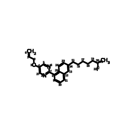 C=CCOc1cnc(-c2cccc3cc(CCCCCC(C)F)ccc23)nc1